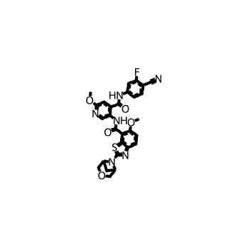 COc1cc(C(=O)Nc2ccc(C#N)c(F)c2)c(NC(=O)c2c(OC)ccc3nc(N4C5COCC4C5)sc23)cn1